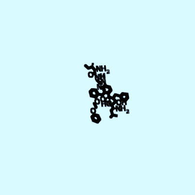 CC[C@@H](C)[C@H](N)C(=O)NCc1nc2c(C(=O)c3ccccc3OCCOc3ccccc3)c(C(=O)C(Cc3ccccc3)C(O)[C@H](O)[C@@H](N)CC(C)C)ccc2[nH]1